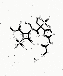 CCN(C(=O)C(CC)(c1csc(NC(=O)CCl)n1)P(=O)(O)O)C1C(=O)N(S(=O)(=O)[O-])C1C(=O)OC.[Na+]